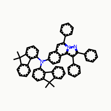 CC1(C)c2ccccc2-c2c(N(c3ccc4c(c3)cc(-c3ccccc3)n3nc(-c5ccccc5)c(-c5ccccc5)c43)c3cccc4c3-c3ccccc3C4(C)C)cccc21